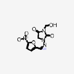 O=C1CN(/N=C\c2ccc([N+](=O)[O-])o2)C(=O)N1CO